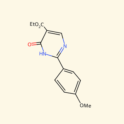 CCOC(=O)c1cnc(-c2ccc(OC)cc2)[nH]c1=O